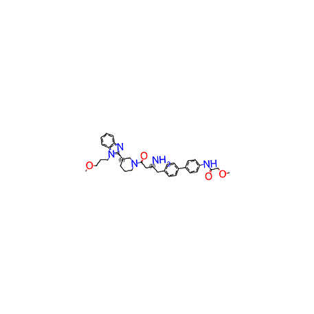 COCCCn1c([C@@H]2CCCN(C(=O)C[C@H](N)Cc3ccc(-c4ccc(NC(=O)COC)cc4)cc3)C2)nc2ccccc21